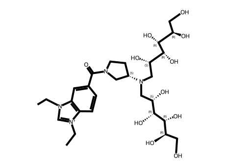 CCn1c[n+](CC)c2ccc(C(=O)N3CC[C@H](N(C[C@H](O)[C@@H](O)[C@H](O)[C@H](O)CO)C[C@H](O)[C@@H](O)[C@H](O)[C@H](O)CO)C3)cc21